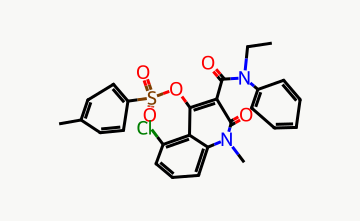 CCN(C(=O)c1c(OS(=O)(=O)c2ccc(C)cc2)c2c(Cl)cccc2n(C)c1=O)c1ccccc1